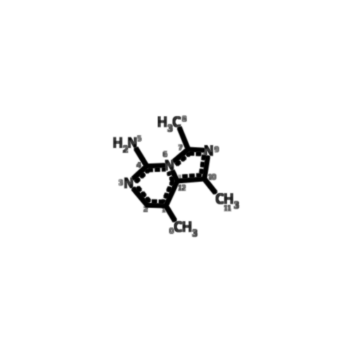 Cc1cnc(N)n2c(C)nc(C)c12